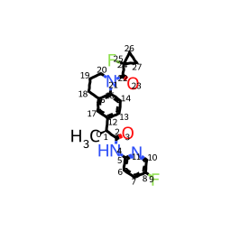 C[C@H](C(=O)Nc1ccc(F)cn1)c1ccc2c(c1)CCCN2C(=O)C1(F)CC1